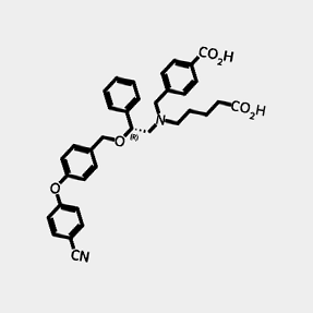 N#Cc1ccc(Oc2ccc(CO[C@@H](CN(CCCCC(=O)O)Cc3ccc(C(=O)O)cc3)c3ccccc3)cc2)cc1